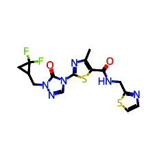 Cc1nc(-n2cnn(CC3CC3(F)F)c2=O)sc1C(=O)NCc1nccs1